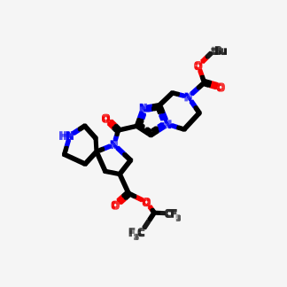 CC(C)(C)OC(=O)N1CCn2cc(C(=O)N3CC(C(=O)OC(C(F)(F)F)C(F)(F)F)CC34CCNCC4)nc2C1